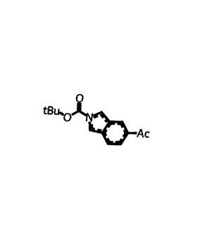 CC(=O)c1ccc2cn(C(=O)OC(C)(C)C)cc2c1